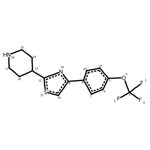 FC(F)(F)Oc1ccc(-c2csc(C3CCNCC3)n2)cc1